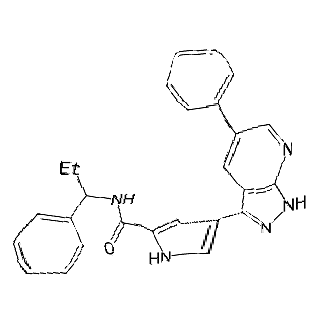 CCC(NC(=O)c1cc(-c2n[nH]c3ncc(-c4ccccc4)cc23)c[nH]1)c1ccccc1